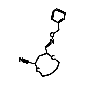 N#CC1CCCCCCC(C=NOCc2ccccc2)C1